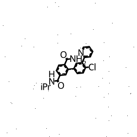 CC(C)NC(=O)c1ccc(C(N)=O)c(-c2ccc(Cl)c(-c3ccccn3)c2)c1